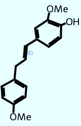 COc1ccc(C/C=C/c2ccc(O)c(OC)c2)cc1